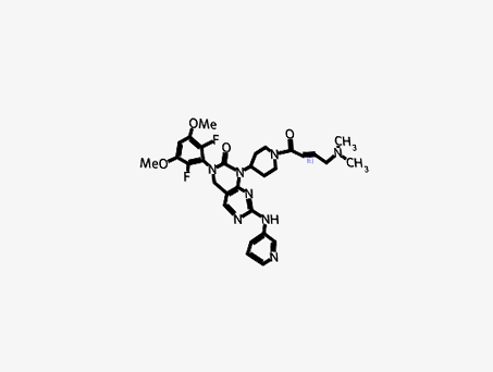 COc1cc(OC)c(F)c(N2Cc3cnc(Nc4cccnc4)nc3N(C3CCN(C(=O)/C=C/CN(C)C)CC3)C2=O)c1F